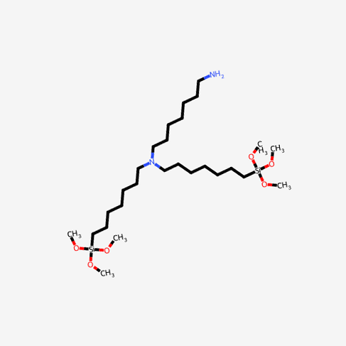 CO[Si](CCCCCCCN(CCCCCCCN)CCCCCCC[Si](OC)(OC)OC)(OC)OC